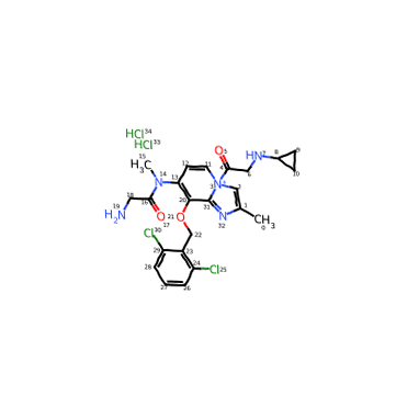 CC1=C[N+]2(C(=O)CNC3CC3)C=CC(N(C)C(=O)CN)=C(OCc3c(Cl)cccc3Cl)C2=N1.Cl.Cl